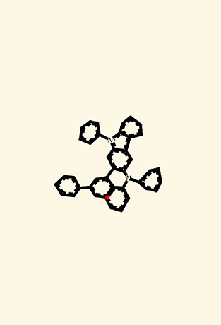 c1ccc(-c2cccc(-c3cc4c(cc3N(c3ccccc3)c3ccccc3)c3ccccc3n4-c3ccccc3)c2)cc1